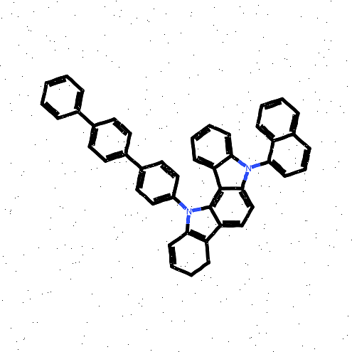 C1=Cc2c(c3ccc4c(c5ccccc5n4-c4cccc5ccccc45)c3n2-c2ccc(-c3ccc(-c4ccccc4)cc3)cc2)CC1